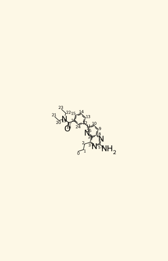 CCCc1nc(N)nc2ccc(-c3cccc(C(=O)N(CC)CC)c3)nc12